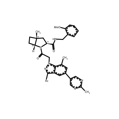 COc1ccccc1CNC(=O)[C@@H]1C[C@@]2(C)CC[C@H]2N1C(=O)Cn1nc(C(C)=O)c2cc(-c3cnc(C)nc3)cc(C)c21